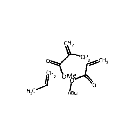 C=C(C)C(=O)OC.C=CC.C=CC(=O)OCCCC